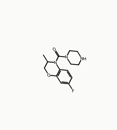 CC1COc2cc(F)ccc2N1C(=O)N1CCNCC1